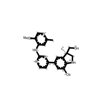 COc1cnc(C)cc1Nc1nccc(-c2cc(C#N)c3c(c2)[C@@](C)(CO)CN3)n1